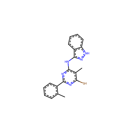 Cc1ccccc1-c1nc(S)c(C)c(Nc2n[nH]c3ccccc23)n1